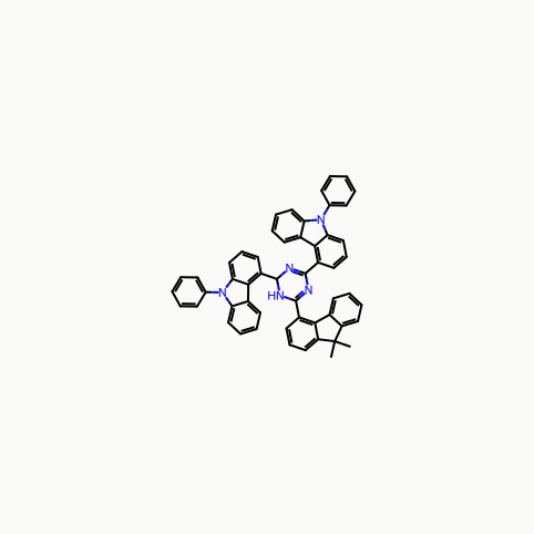 CC1(C)c2ccccc2-c2c(C3=NC(c4cccc5c4c4ccccc4n5-c4ccccc4)=NC(c4cccc5c4c4ccccc4n5-c4ccccc4)N3)cccc21